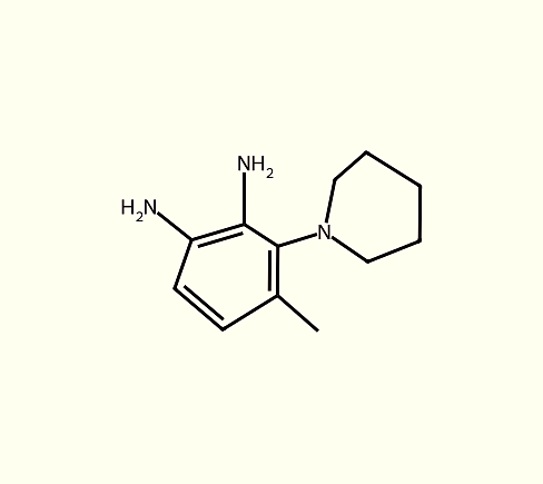 Cc1ccc(N)c(N)c1N1CCCCC1